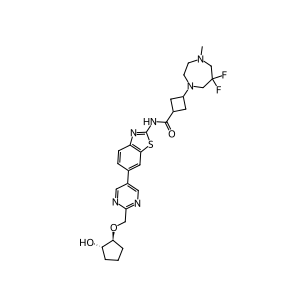 CN1CCN(C2CC(C(=O)Nc3nc4ccc(-c5cnc(CO[C@H]6CCC[C@@H]6O)nc5)cc4s3)C2)CC(F)(F)C1